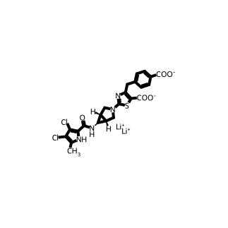 Cc1[nH]c(C(=O)N[C@@H]2[C@@H]3CN(c4nc(Cc5ccc(C(=O)[O-])cc5)c(C(=O)[O-])s4)C[C@@H]32)c(Cl)c1Cl.[Li+].[Li+]